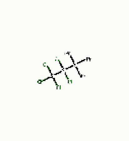 CC(C)[Si](C(C)C)(C(C)C)[Si](Cl)(Cl)[Si](Cl)(Cl)Cl